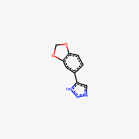 c1cc2c(cc1-c1cnn[nH]1)OCO2